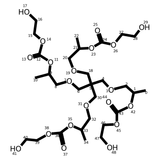 CC(COCC(COCC(C)OC(=O)OCCO)(COCC(C)OC(=O)OCCO)COCC(C)OC(=O)OCCO)OC(=O)OCCO